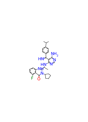 CC(C)c1ccc(C(=N)c2c(N)ncnc2NC(C)C2Nc3cccc(F)c3C(=O)N2C2CCCC2)cc1